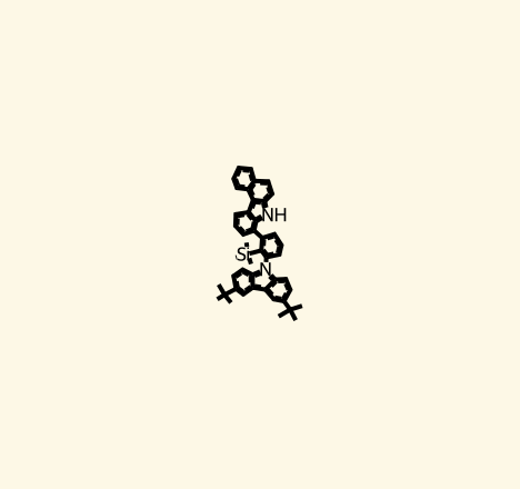 CC(C)(C)c1ccc2c(c1)c1cc(C(C)(C)C)ccc1n2-c1cccc(-c2cccc3c2[nH]c2ccc4ccccc4c23)c1[Si](C)(C)C